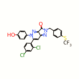 O=c1c2nn(-c3ccc(O)cc3)c(-c3ccc(Cl)cc3Cl)cc-2nn1Cc1ccc(SC(F)(F)F)cc1